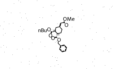 CCCCOC(=O)[C@H]1CC(=CC(=O)OC)CC[C@@H]1C(=O)OCc1ccccc1